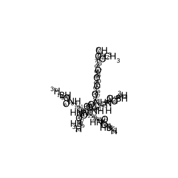 [3H]CBCOC(=O)NCCCCC(NC(=O)OCBC[3H])C(=O)NC(CCCCNC(=O)OCBC[3H])C(=O)NC(CCCCNC(=O)OCBC[3H])C(=O)NCCOCCOCCOCCOCCCC(OCC)OCC